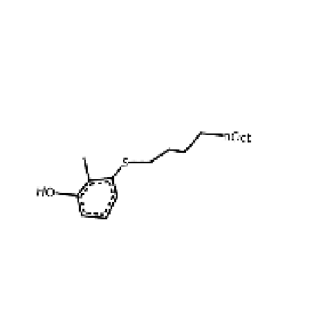 CCCCCCCCCCCCSc1cccc(O)c1C